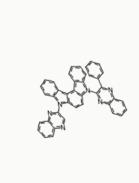 c1ccc(-c2nc3ccccc3nc2-n2c3ccccc3c3c4c5ccccc5n(-c5cnc6ccccc6n5)c4ccc32)cc1